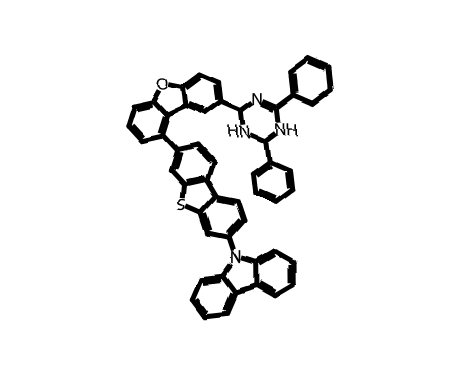 C1=CCCC(C2=NC(c3ccc4oc5cccc(-c6ccc7c(c6)sc6cc(-n8c9ccccc9c9ccccc98)ccc67)c5c4c3)NC(c3ccccc3)N2)=C1